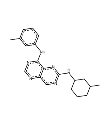 Cc1cccc(Nc2ncnc3cnc(NC4CCCC(C)C4)nc23)c1